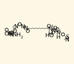 Cc1ncsc1-c1ccc(C(C)NC(=O)C2CC(O)CN2C(=O)C(NC(=O)CCCCCCCCCCCCC(=O)N2CCN(c3cccc(N4CCCC(Oc5cc(-c6ccccc6O)nnc5N)C4)c3)CC2)C(C)(C)C)cc1